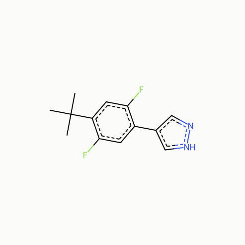 CC(C)(C)c1cc(F)c(-c2cn[nH]c2)cc1F